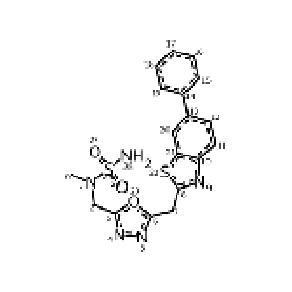 CN(Cc1nnc(Cc2nc3ccc(-c4ccccc4)cc3s2)o1)S(N)(=O)=O